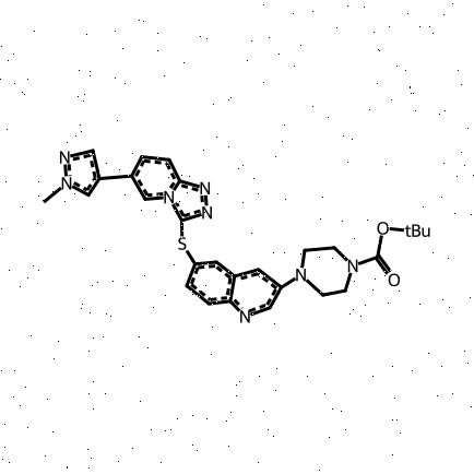 Cn1cc(-c2ccc3nnc(Sc4ccc5ncc(N6CCN(C(=O)OC(C)(C)C)CC6)cc5c4)n3c2)cn1